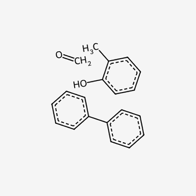 C=O.Cc1ccccc1O.c1ccc(-c2ccccc2)cc1